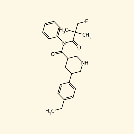 CCc1ccc(C2CNCC(C(=O)N(C(=O)C(C)(C)CF)c3ccccc3)C2)cc1